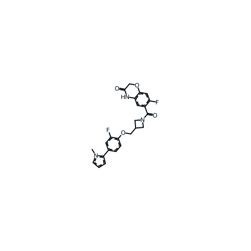 Cn1cccc1-c1ccc(OCC2CN(C(=O)c3cc4c(cc3F)OCC(=O)N4)C2)c(F)c1